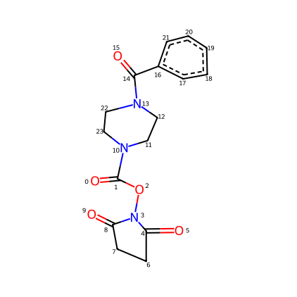 O=C(ON1C(=O)CCC1=O)N1CCN(C(=O)c2ccccc2)CC1